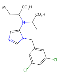 CC(C)CC(C(=O)O)N(c1cncn1Cc1cc(Cl)cc(Cl)c1)C(C)C(=O)O